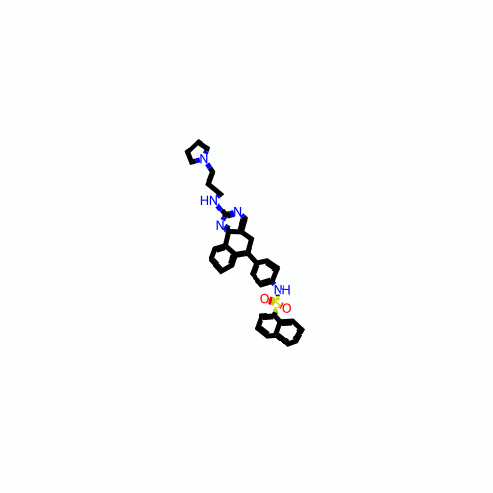 O=S(=O)(Nc1ccc(C2Cc3cnc(NCCCN4CCCC4)nc3-c3ccccc32)cc1)c1cccc2ccccc12